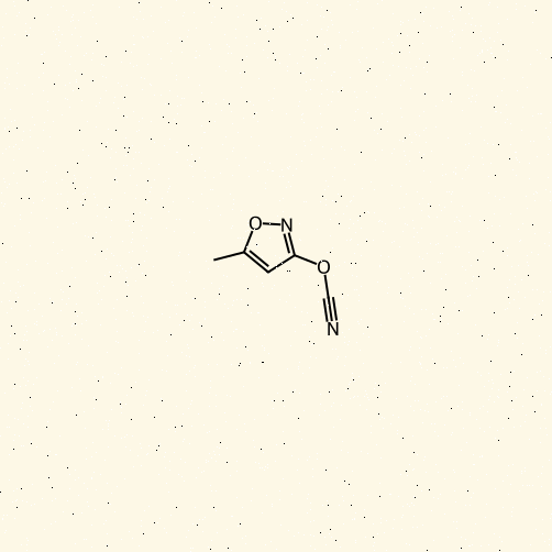 Cc1cc(OC#N)no1